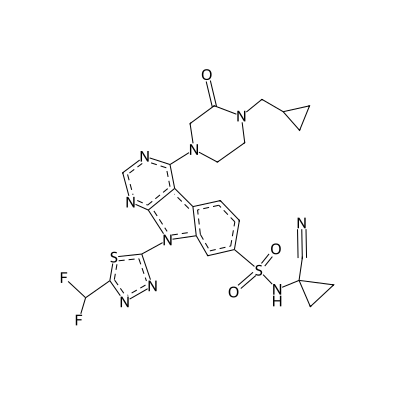 N#CC1(NS(=O)(=O)c2ccc3c4c(N5CCN(CC6CC6)C(=O)C5)ncnc4n(-c4nnc(C(F)F)s4)c3c2)CC1